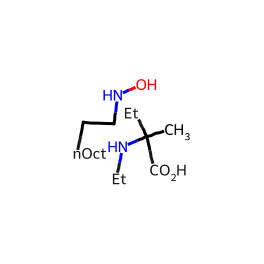 CCCCCCCCCCNO.CCNC(C)(CC)C(=O)O